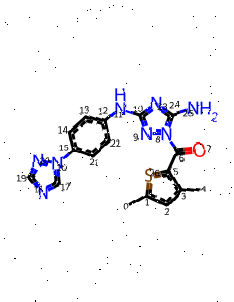 Cc1cc(C)c(C(=O)n2nc(Nc3ccc(-n4cncn4)cc3)nc2N)s1